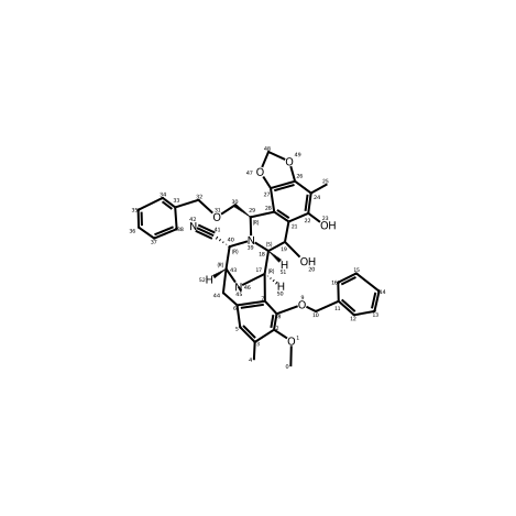 COc1c(C)cc2c(c1OCc1ccccc1)[C@@H]1[C@H]3C(O)c4c(O)c(C)c5c(c4[C@H](COCc4ccccc4)N3[C@@H](C#N)[C@@H](C2)N1C)OCO5